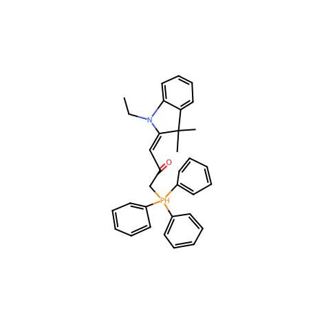 CCN1/C(=C/C(=O)C[PH](c2ccccc2)(c2ccccc2)c2ccccc2)C(C)(C)c2ccccc21